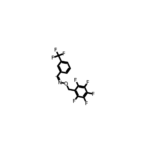 Fc1c(F)c(F)c(CO/N=[C]\c2cccc(C(F)(F)F)c2)c(F)c1F